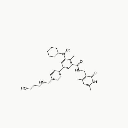 CCN(c1cc(-c2ccc(CNCCCO)cc2)cc(C(=O)NCc2c(C)cc(C)[nH]c2=O)c1C)C1CCCCC1